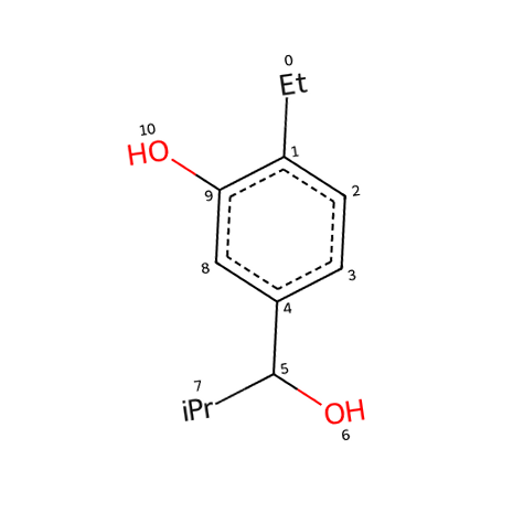 CCc1ccc(C(O)C(C)C)cc1O